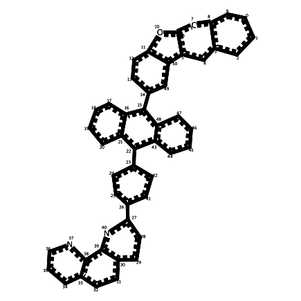 c1ccc2cc3c(cc2c1)oc1ccc(-c2c4ccccc4c(-c4ccc(-c5ccc6ccc7cccnc7c6n5)cc4)c4ccccc24)cc13